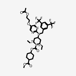 CC[C@@H]1CC(N(Cc2cc(C(F)(F)F)cc(C(F)(F)F)c2)c2ncc(OCCOC(C)=O)cn2)C[C@@H](CC)N1C(=O)OC1CCC(C(=O)OC)CC1